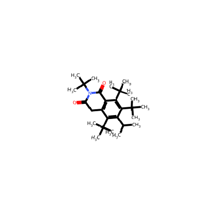 CC(C)c1c(C(C)(C)C)c2c(c(C(C)(C)C)c1C(C)(C)C)C(=O)N(C(C)(C)C)C(=O)C2